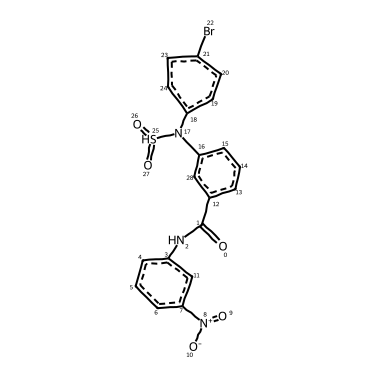 O=C(Nc1cccc([N+](=O)[O-])c1)c1cccc(N(c2ccc(Br)cc2)[SH](=O)=O)c1